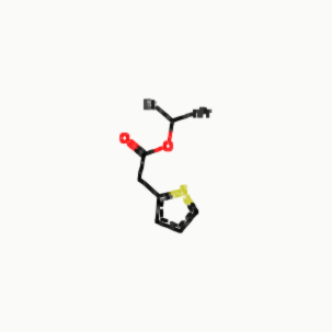 CCCC(CC)OC(=O)Cc1cccs1